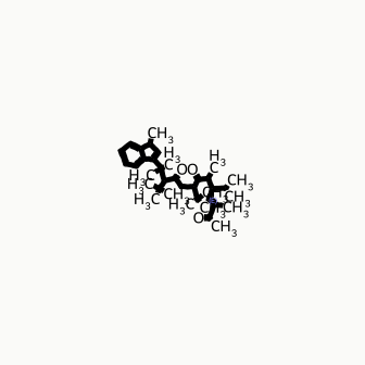 CC(=O)/C(C)=C/C(C(C)C)C(C)C(=O)C(CC(=O)C(C(C)(C)C)C(C)(C)C1=CC(C)c2ccccc21)C(C)(C)C